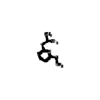 COc1ccnc(SC(C)C)n1